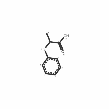 CC(Sc1cc[c]cc1)C(=O)O